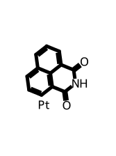 O=C1NC(=O)c2cccc3cccc1c23.[Pt]